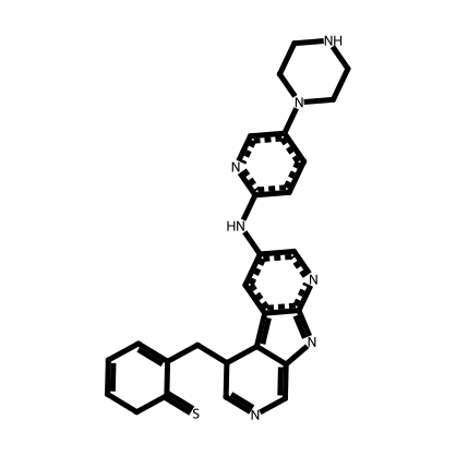 S=C1CC=CC=C1CC1C=NC=C2N=c3ncc(Nc4ccc(N5CCNCC5)cn4)cc3=C21